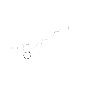 CCCCCCCCCCCCc1ccccc1N(C)C